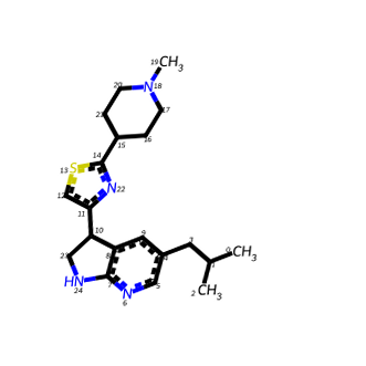 CC(C)Cc1cnc2c(c1)C(c1csc(C3CCN(C)CC3)n1)CN2